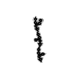 Cc1ccc(-c2ccc3c4ccc(-c5c(C)cc(CCc6ccc(-c7ccc8c9ccc(-c%10c(C)cc(CCc%11ccc(-c%12ccc%13c%14ccc(-c%15c(C)cc(C)cc%15C)cc%14n(-c%14ccc(C)cc%14)c%13c%12)cc%11)cc%10C)cc9n(-c9ccccc9)c8c7)cc6)cc5C)cc4n(-c4cccc(-c5ccccc5)c4)c3c2)cc1